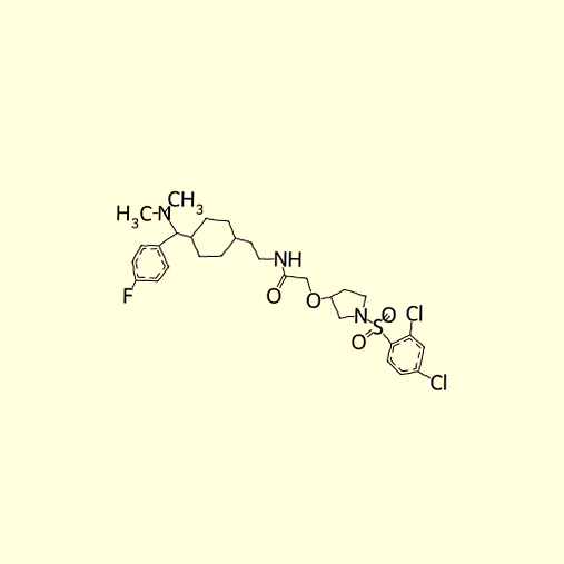 CN(C)C(c1ccc(F)cc1)C1CCC(CCNC(=O)COC2CCN(S(=O)(=O)c3ccc(Cl)cc3Cl)C2)CC1